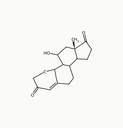 C[C@]12CC(O)C3C4CCC(=O)C=C4CCC3C1CCC2=O